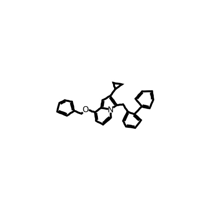 c1ccc(COc2cccn3c(Cc4ccccc4-c4ccccc4)c(C4CC4)cc23)cc1